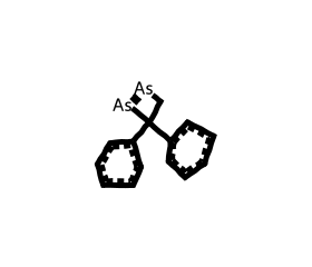 c1ccc(C2(c3ccccc3)C[As]=[As]2)cc1